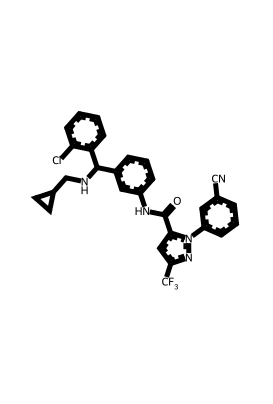 N#Cc1cccc(-n2nc(C(F)(F)F)cc2C(=O)Nc2cccc(C(NCC3CC3)c3ccccc3Cl)c2)c1